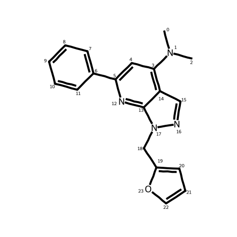 CN(C)c1cc(-c2ccccc2)nc2c1cnn2Cc1ccco1